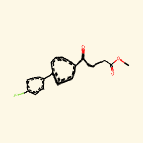 COC(=O)CCC(=O)c1ccc(-c2ccc(F)cc2)cc1